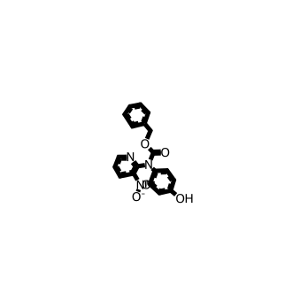 O=C(OCc1ccccc1)N(c1ccc(O)cc1)c1ncccc1[N+](=O)[O-]